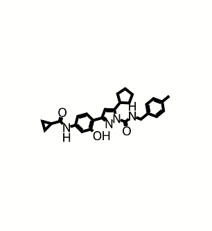 Cc1ccc(CNC(=O)n2nc(-c3ccc(NC(=O)C4CC4)cc3O)cc2C2CCCC2)cc1